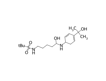 CC(C)(O)C1=CCC(NC(O)CCCCNS(=O)(=O)C(C)(C)C)C=C1